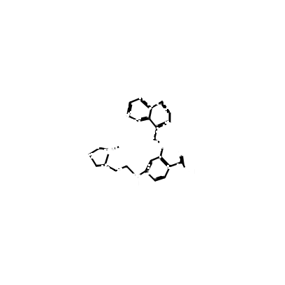 CN1CCCC1CCNc1ccc(C(=O)O)c(OCc2cccc3ccccc23)c1